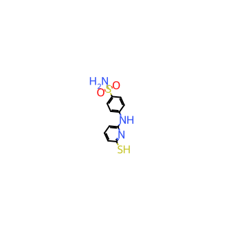 NS(=O)(=O)c1ccc(Nc2cccc(S)n2)cc1